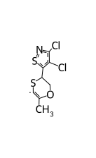 CC1=[C]SC(c2snc(Cl)c2Cl)CO1